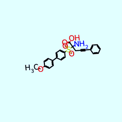 COc1ccc(-c2ccc(S(=O)(=O)C(N)(CC#Cc3ccccc3)C(=O)O)cc2)cc1